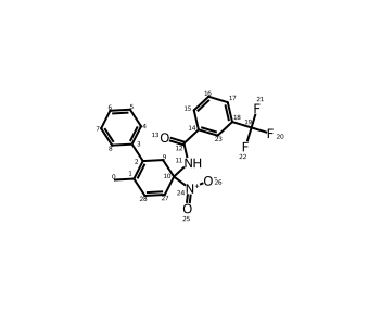 CC1=C(c2ccccc2)CC(NC(=O)c2cccc(C(F)(F)F)c2)([N+](=O)[O-])C=C1